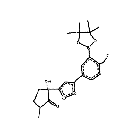 CN1CC[C@@](O)(c2cc(-c3ccc(F)c(B4OC(C)(C)C(C)(C)O4)c3)no2)C1=O